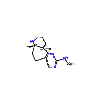 O=C(O)Nc1ncc2c(n1)[C@@H]1CCCN[C@H]1CC2